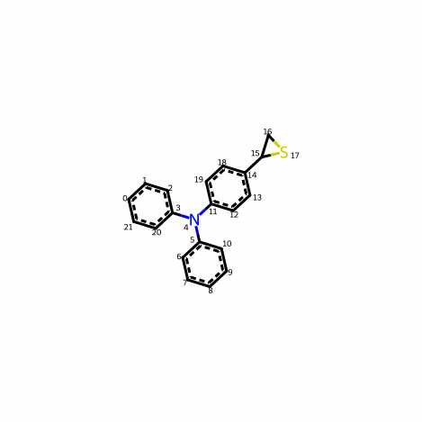 c1ccc(N(c2ccccc2)c2ccc(C3CS3)cc2)cc1